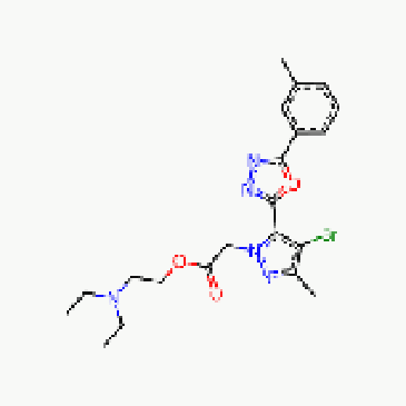 CCN(CC)CCOC(=O)Cn1nc(C)c(Br)c1-c1nnc(-c2cccc(C)c2)o1